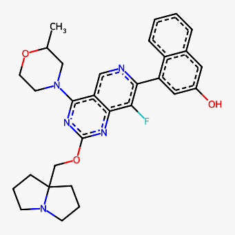 CC1CN(c2nc(OCC34CCCN3CCC4)nc3c(F)c(-c4cc(O)cc5ccccc45)ncc23)CCO1